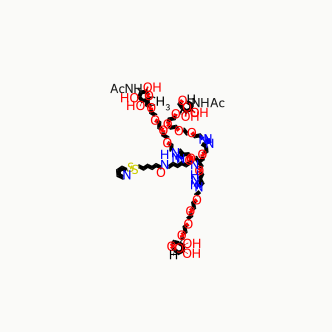 CC(=O)N[C@@H]1[C@@H](O)[C@@H](O)[C@@](C)(COCCOCCOCCOCCn2cc(COCC(COCc3cn(CCOCCOCCOCCOC[C@@]45CO[C@@H](O4)[C@H](NC(C)=O)[C@@H](O)[C@H]5O)nn3)(COCc3cn(CCOCCOCCOCCOC[C@]45CO[C@H](C[C@@H](O)[C@H]4O)O5)nn3)NC(=O)CCCCCNC(=O)CCCCCSSc3ccccn3)nn2)O[C@@H]1O